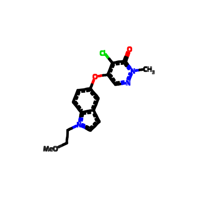 COCCn1ccc2cc(Oc3cnn(C)c(=O)c3Cl)ccc21